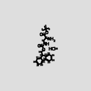 CC(C)(C)OC(=O)C(N)CNC(=O)OCC1c2ccccc2-c2ccccc21.Cl